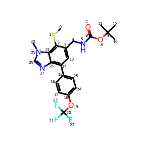 CSc1c(CNC(=O)OC(C)(C)C)cc(-c2ccc(OC(F)(F)F)cc2)c2ncn(C)c12